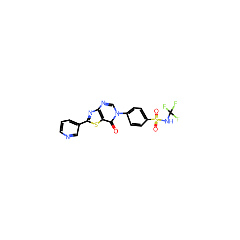 O=c1c2sc(-c3cccnc3)nc2ncn1-c1ccc(S(=O)(=O)NC(F)(F)F)cc1